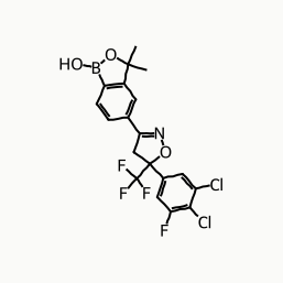 CC1(C)OB(O)c2ccc(C3=NOC(c4cc(F)c(Cl)c(Cl)c4)(C(F)(F)F)C3)cc21